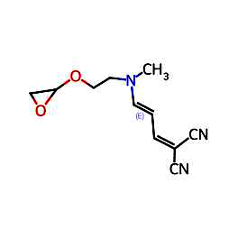 CN(/C=C/C=C(C#N)C#N)CCOC1CO1